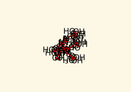 CC(=O)N[C@H]1[C@H](OCCOCCn2cc(CN(CCCC[C@@H](C(=O)NCCCNC(=O)CCN3C(=O)C=CC3=O)N(Cc3cn(CCOCCOC4O[C@H](CO)[C@H](O)[C@H](O)[C@H]4NC(C)=O)nn3)Cc3cn(CCOCCO[C@@H]4O[C@H](CO)[C@H](O)[C@H](O)[C@H]4C)nn3)Cc3cn(CCOCCO[C@@H]4O[C@H](CO)[C@H](O)[C@H](O)[C@H]4NC(C)=O)nn3)nn2)O[C@H](CO)[C@H](O)[C@@H]1O